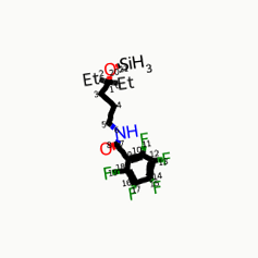 CCC(CC)(CCCNC(=O)c1c(F)c(F)c(F)c(F)c1F)O[SiH3]